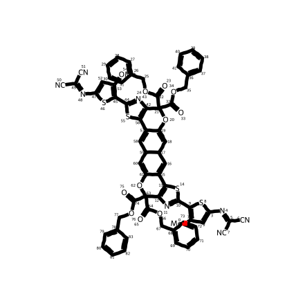 COc1cc(N=C(C#N)C#N)sc1-c1nc2c(s1)C1=CC3C=C4OC(C(=O)OCc5ccccc5)(C(=O)OCc5ccccc5)c5nc(-c6sc(N=C(C#N)C#N)cc6OC)sc5C4=CC3C=C1OC2(C(=O)OCc1ccccc1)C(=O)OCc1ccccc1